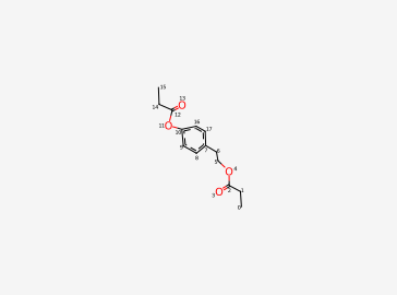 CCC(=O)OCCc1ccc(OC(=O)CC)cc1